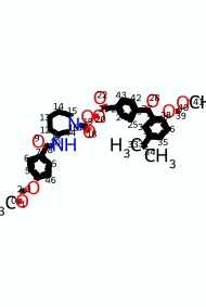 COCOc1ccc(C(=O)NC2CCCCN(C(=O)OOC(=O)c3ccc(C(=O)c4cc(C(C)C)ccc4OCOC)cc3)C2)cc1